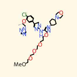 COCCOCCOCCOCCCOc1nn([C@H]2CC[C@H](N3CCOCC3)CC2)cc1Nc1ncc(-c2ccc(Cl)c(O[C@@H](C)Cn3cncn3)c2)cn1